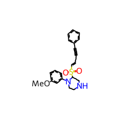 COc1cccc(N2CCNCC2S(=O)(=O)/C=C/C#Cc2ccccc2)c1